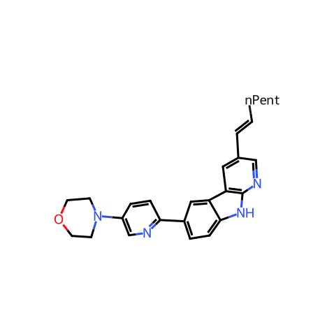 CCCCCC=Cc1cnc2[nH]c3ccc(-c4ccc(N5CCOCC5)cn4)cc3c2c1